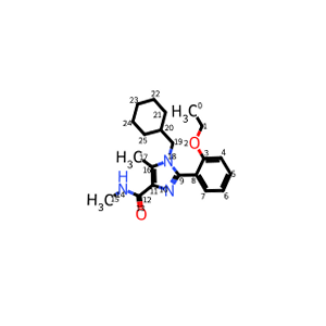 CCOc1ccccc1-c1nc(C(=O)NC)c(C)n1CC1CCCCC1